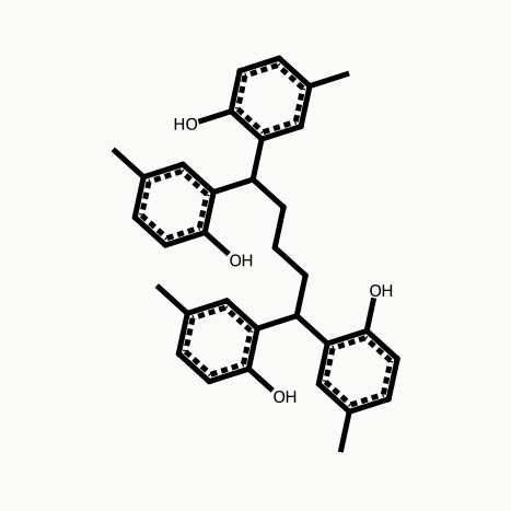 Cc1ccc(O)c(C(CCCC(c2cc(C)ccc2O)c2cc(C)ccc2O)c2cc(C)ccc2O)c1